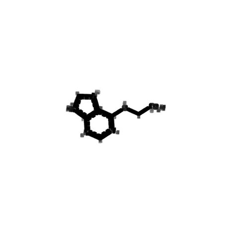 O=C(O)COc1ncnc2[nH]cnc12